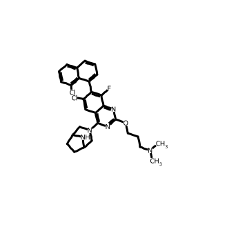 CN(C)CCCOc1nc(N2CC3CCC(C2)N3)c2cc(Cl)c(-c3cccc4cccc(Cl)c34)c(F)c2n1